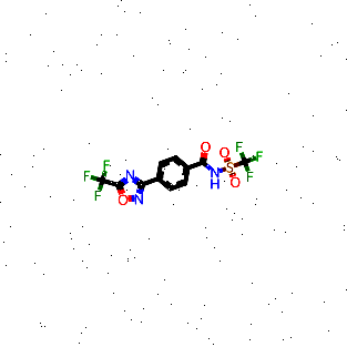 O=C(NS(=O)(=O)C(F)(F)F)c1ccc(-c2noc(C(F)(F)F)n2)cc1